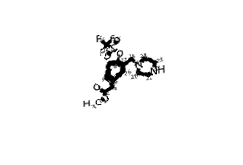 COC(=O)Cc1ccc(OS(=O)(=O)C(F)(F)F)c(CN2CCNCC2)c1